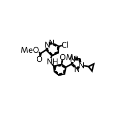 COC(=O)c1nnc(Cl)cc1Nc1cccc(-c2ncn(C3CC3)n2)c1OC